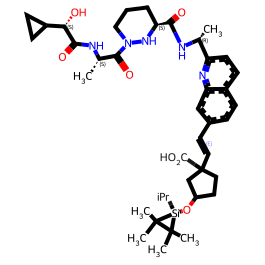 CC(C)[Si]1(OC2CCC(/C=C/c3ccc4ccc([C@@H](C)NC(=O)[C@@H]5CCCN(C(=O)[C@H](C)NC(=O)[C@@H](O)C6CC6)N5)nc4c3)(C(=O)O)C2)C(C)(C)C1(C)C